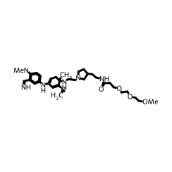 C=NC1=CC(Nc2ccc(NC)c(C=N)c2)=CCC1(C)NCCN1CCC(CCNC(=O)CCOCCOCCOC)C1